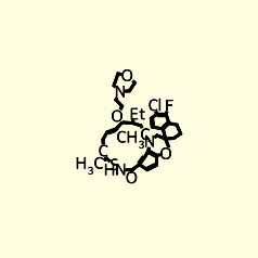 CCC1CCN2CC3(CCCc4c3ccc(Cl)c4F)COc3ccc(cc32)C(=O)NSC(C)CC/C=C(\C)C1OCCN1CCOCC1